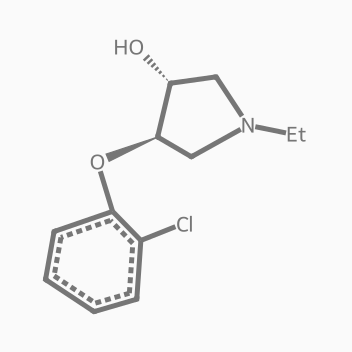 CCN1C[C@@H](O)[C@H](Oc2ccccc2Cl)C1